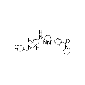 O=C(c1ccc(-c2ccc(NC3C[C@@H]4CN(CC5CCOCC5)C[C@@H]4C3)nn2)cc1)N1CCCCC1